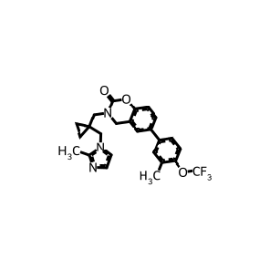 Cc1cc(-c2ccc3c(c2)CN(CC2(Cn4ccnc4C)CC2)C(=O)O3)ccc1OC(F)(F)F